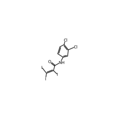 O=C(Nc1ccc(Cl)c(Cl)c1)C(I)=C(I)I